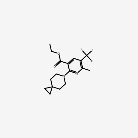 CCOC(=O)c1cc(C(F)(F)F)c(C)nc1N1CCC2(CC1)CC2